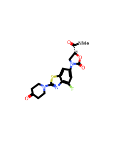 CNC(=O)[C@H]1CN(c2cc(F)c3nc(N4CCC(=O)CC4)sc3c2)C(=O)O1